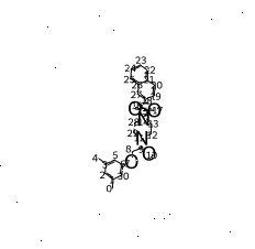 Cc1cc(C)cc(OCC(=O)N2CCN(S(=O)(=O)c3ccc4ccccc4c3)CC2)c1